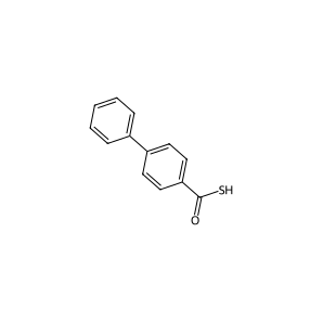 O=C(S)c1ccc(-c2ccccc2)cc1